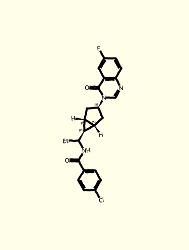 CCC(NC(=O)c1ccc(Cl)cc1)[C@H]1[C@@H]2C[C@@H](n3cnc4ccc(F)cc4c3=O)C[C@@H]21